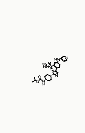 CCNS(=O)(=O)c1cc(Nc2ccncc2)ccc1-c1cnc([C@H]2CC[C@H](NC(=O)OC(C)C)CC2)s1